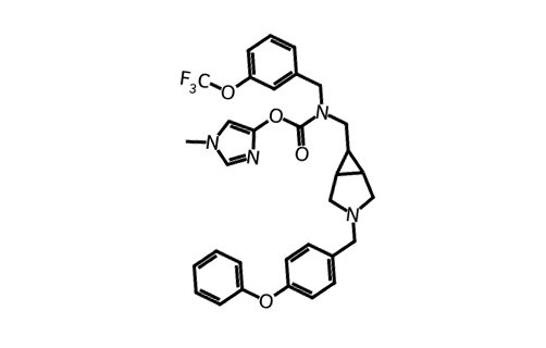 Cn1cnc(OC(=O)N(Cc2cccc(OC(F)(F)F)c2)CC2C3CN(Cc4ccc(Oc5ccccc5)cc4)CC32)c1